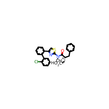 CN(C(=O)[C@@H](CC(=O)O)Cc1ccccc1)c1nc(-c2ccccc2-c2ccccc2Cl)cs1